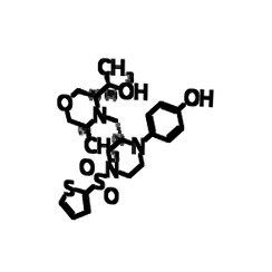 C[C@@H](O)[C@@H]1COC[C@H](C)N1C[C@H]1CN(S(=O)(=O)c2cccs2)CCN1c1ccc(O)cc1